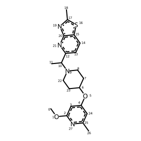 COc1cc(OC2CCN(C(C)c3ccc4sc(C)nc4n3)CC2)cc(C)n1